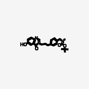 CN(Cc1ccc(CCCn2cnc3ccc(O)cc3c2=O)cc1)C(=O)OC(C)(C)C